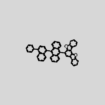 c1ccc(-c2ccc(-c3c4ccccc4c(-c4cc5c6ccccc6oc5c5c4oc4ccccc45)c4ccccc34)c3ccccc23)cc1